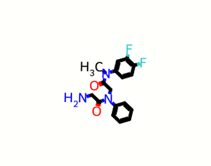 CN(C(=O)CN(C(=O)CN)c1ccccc1)c1ccc(F)c(F)c1